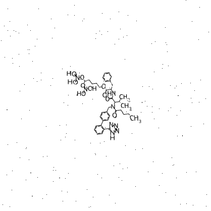 CCCCC(=O)N(Cc1ccc(-c2ccccc2-c2nnn[nH]2)cc1)C(C(=O)NC(Cc1ccccc1)C(=O)OCCCCC(ON(O)O)ON(O)O)C(C)C